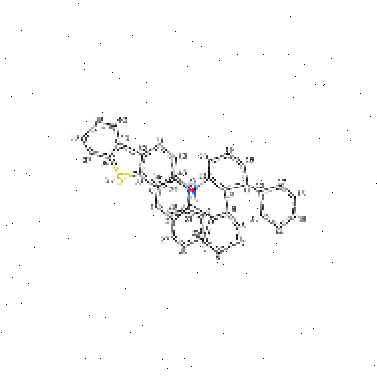 c1ccc(-c2ccccc2-c2c(-c3ccccc3)cccc2N(c2ccccc2)c2ccc3c(c2)sc2ccccc23)cc1